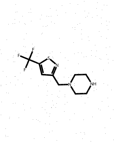 FC(F)(F)c1cc(CN2CCNCC2)ns1